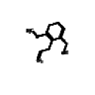 C=CCC1=C(OC)CCC=C1CO